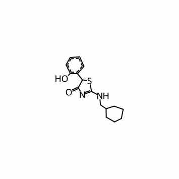 O=C1N=C(NCC2CCCCC2)SC1c1ccccc1O